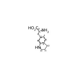 N[C@@H](Cc1ccc2c(c1)NCCC2)C(=O)O